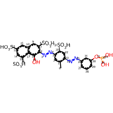 Cc1cc(/N=N/c2c(S(=O)(=O)O)cc3cc(S(=O)(=O)O)cc(S(=O)(=O)O)c3c2O)c(S(=O)(=O)O)cc1/N=N/c1cccc(OP(O)O)c1